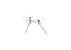 CCCCCCCC(=O)C(N)(CSSCC(N)(C(=O)O)C(=O)CCCCCCC)C(=O)O